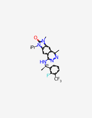 Cc1nnc(N[C@H](C)c2cccc(C(F)(F)F)c2F)c2cc3c(cc12)n(C)c(=O)n3C(C)C